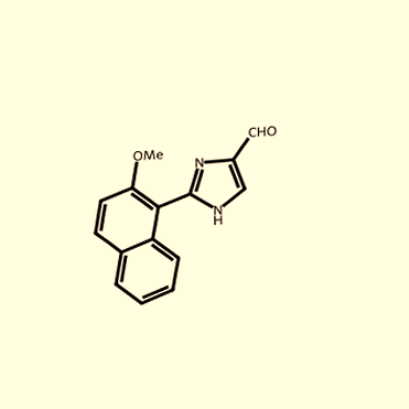 COc1ccc2ccccc2c1-c1nc(C=O)c[nH]1